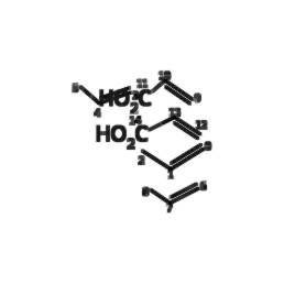 C=CC.C=CC.C=CC.C=CC(=O)O.C=CC(=O)O